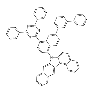 c1ccc(-c2cccc(-c3ccc4c(-n5c6cc7ccccc7cc6c6c7ccccc7ccc65)ccc(-c5nc(-c6ccccc6)nc(-c6ccccc6)n5)c4c3)c2)cc1